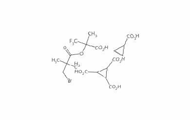 CC(C)(CBr)C(=O)OC(C)(C(=O)O)C(F)(F)F.O=C(O)C1C(C(=O)O)C1C(=O)O.O=C(O)C1CC1